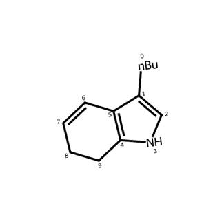 CCCCc1c[nH]c2c1C=CCC2